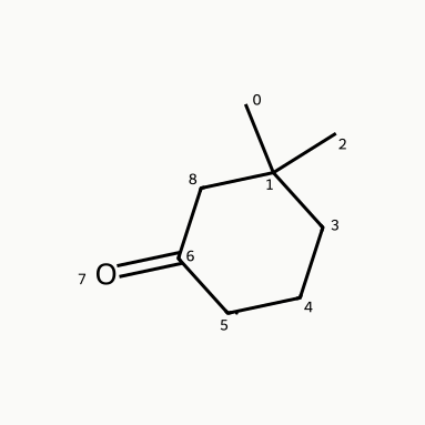 CC1(C)CC[CH]C(=O)C1